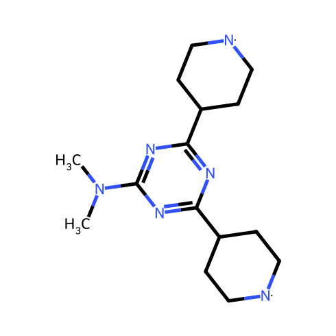 CN(C)c1nc(C2CC[N]CC2)nc(C2CC[N]CC2)n1